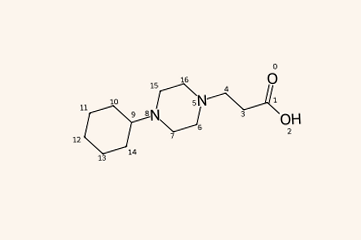 O=C(O)CCN1CCN(C2CCCCC2)CC1